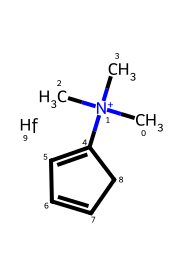 C[N+](C)(C)C1=CC=CC1.[Hf]